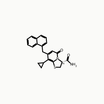 NC(=O)[C@@H]1CSc2c(C3CC3)c(Cc3cccc4ccccc34)cc(=O)n21